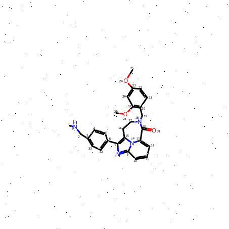 CNCc1ccc(-c2nc3cccc4n3c2CCN(Cc2ccc(OC)cc2OC)C4=O)cc1